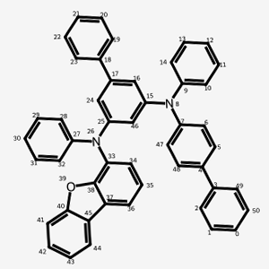 c1ccc(-c2ccc(N(c3ccccc3)c3cc(-c4ccccc4)cc(N(c4ccccc4)c4cccc5c4oc4ccccc45)c3)cc2)cc1